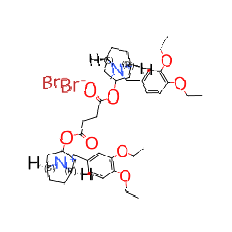 CCOc1ccc(C[N+]2(C)[C@@H]3CC[C@H]2CC(OC(=O)CCC(=O)OC2C[C@H]4CC[C@@H](C2)[N+]4(C)Cc2ccc(OCC)c(OCC)c2)C3)cc1OCC.[Br-].[Br-]